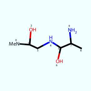 CNC(O)CNC(O)C(C)N